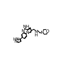 Nc1nc2cc(-c3ccn[nH]3)ccc2n2cc(CNCCN3CCOCC3)cc12